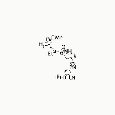 CCN(CCC(C)CC(=O)OC)CCS(=O)(=O)NC1CCc2c(-c3cnc(-c4ccc(OC(C)C)c(C#N)c4)s3)cccc21